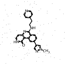 Cn1cc(-c2ccc3c(NCCc4ccncc4)nc4cc[nH]c(=O)c4c3c2)cn1